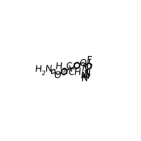 CC(C)(c1ccc(Oc2nc(-n3ccnn3)ccc2F)cc1)c1ccc(OC2CC(N)C2)cc1